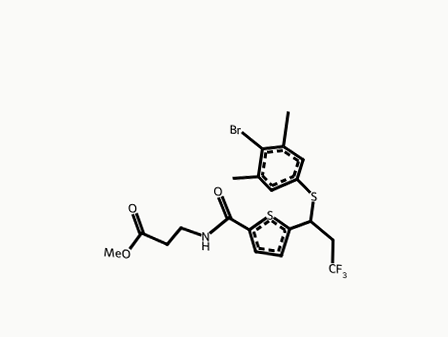 COC(=O)CCNC(=O)c1ccc(C(CC(F)(F)F)Sc2cc(C)c(Br)c(C)c2)s1